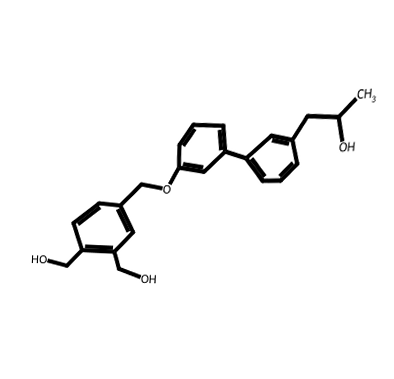 CC(O)Cc1cccc(-c2cccc(OCc3ccc(CO)c(CO)c3)c2)c1